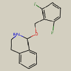 Fc1cccc(F)c1COC1NCCc2ccccc21